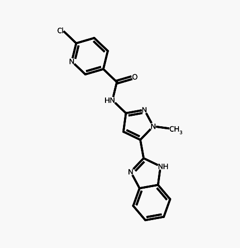 Cn1nc(NC(=O)c2ccc(Cl)nc2)cc1-c1nc2ccccc2[nH]1